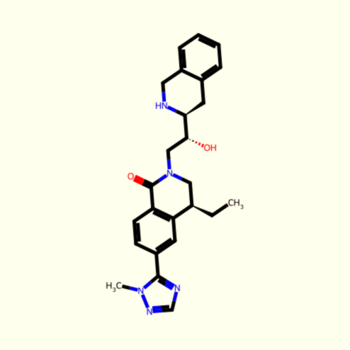 CC[C@@H]1CN(C[C@@H](O)[C@@H]2Cc3ccccc3CN2)C(=O)c2ccc(-c3ncnn3C)cc21